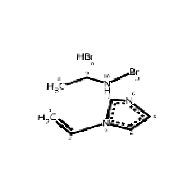 Br.C=Cn1ccnc1.CCNBr